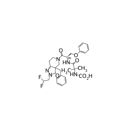 CC(C)(NC(=O)O)C(=O)N[C@H](COc1ccccc1)C(=O)N1CCC2=NN(CC(F)F)C(=O)C2(Cc2ccccc2)C1